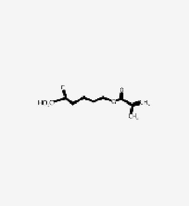 C=C(C)C(=O)OCCCCC(F)C(=O)O